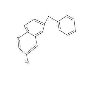 [2H]c1cnc2ccc(Cc3ccccc3)cc2c1